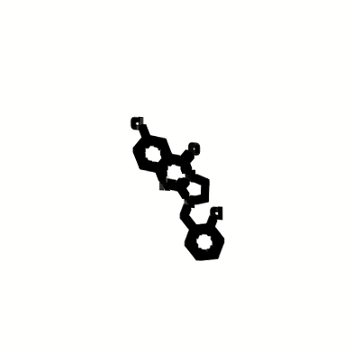 O=c1c2cc(Cl)ccc2nc2n1CCN2Cc1ccccc1Cl